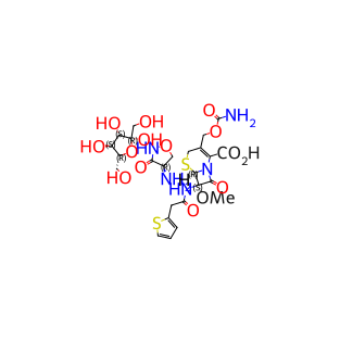 CO[C@@]1(NC(=O)Cc2cccs2)C(=O)N2C(C(=O)O)=C(COC(N)=O)CS[C@@H]21.N[C@@H]1CONC1=O.OC[C@H]1O[C@](O)(CO)[C@@H](O)[C@@H]1O